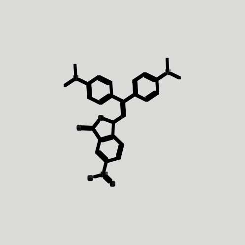 CN(C)c1ccc(C(=CC2OC(=O)c3cc([N+](=O)[O-])ccc32)c2ccc(N(C)C)cc2)cc1